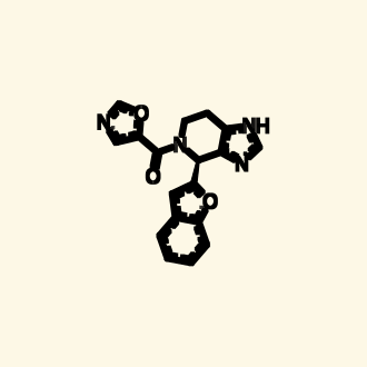 O=C(c1cnco1)N1CCc2[nH]cnc2[C@H]1c1cc2ccccc2o1